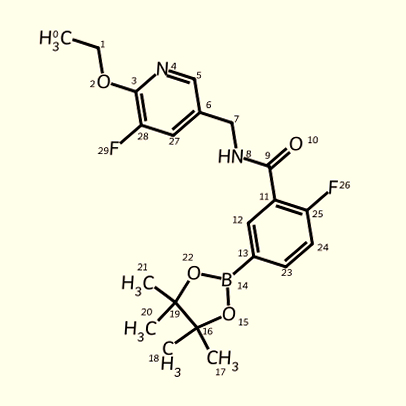 CCOc1ncc(CNC(=O)c2cc(B3OC(C)(C)C(C)(C)O3)ccc2F)cc1F